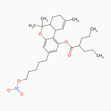 CCCC(CCC)C(=O)Oc1cc(CCCCCO[N+](=O)[O-])cc2c1C1C=C(C)CCC1C(C)(C)O2